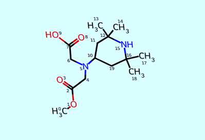 COC(=O)CN(CC(=O)O)C1CC(C)(C)NC(C)(C)C1